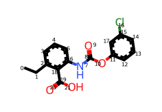 CCc1cccc(NC(=O)Oc2cccc(Cl)c2)c1C(=O)O